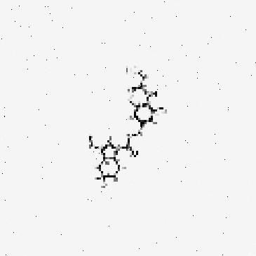 CCc1sc(C(=O)CCc2cc(C)c(NC(=O)CO)c(C)c2)c2c1CC(C)(C)CC2